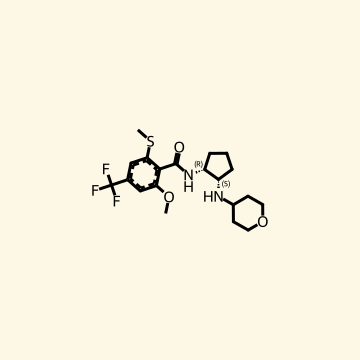 COc1cc(C(F)(F)F)cc(SC)c1C(=O)N[C@@H]1CCC[C@@H]1NC1CCOCC1